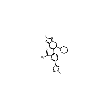 Cn1cc(-c2ccc(-c3cc4cn(C)nc4cc3N3CCCCC3)c(C(N)=O)n2)cn1